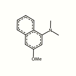 COc1cc(N(C)C)c2ccccc2c1